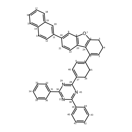 C1=C(C2=CCCc3oc4cc(-c5ccc6ccccc6c5)ccc4c32)CCC(c2nc(-c3ccccc3)nc(-c3ccccc3)n2)=C1